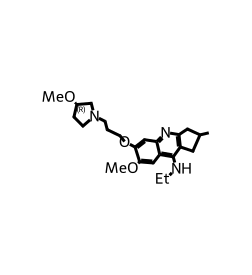 CCNc1c2c(nc3cc(OCCCN4CC[C@@H](OC)C4)c(OC)cc13)CC(C)C2